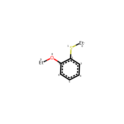 C[CH]Sc1ccccc1OCC